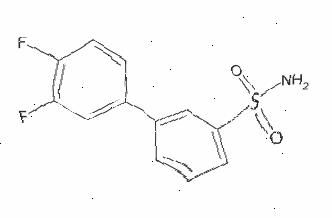 NS(=O)(=O)c1cccc(-c2ccc(F)c(F)c2)c1